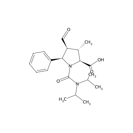 CC(C)N(C(=O)N1[C@H](C(=O)O)[C@@H](C)[C@H](C=O)[C@@H]1c1ccccc1)C(C)C